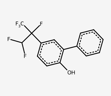 Oc1ccc(C(F)(C(F)F)C(F)(F)F)cc1-c1ccccc1